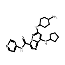 NC1CCC(Nc2cc(NC3CCCC3)c3ncc(C(=O)Nc4ccncc4)n3n2)CC1